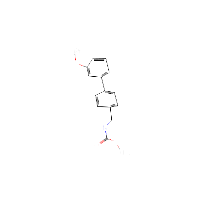 CC(C)Oc1cccc(-c2ccc(CNC(=O)OC(C)(C)C)cc2)c1